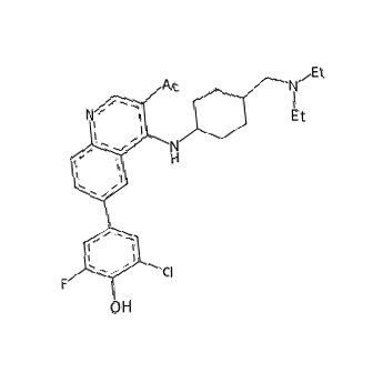 CCN(CC)CC1CCC(Nc2c(C(C)=O)cnc3ccc(-c4cc(F)c(O)c(Cl)c4)cc23)CC1